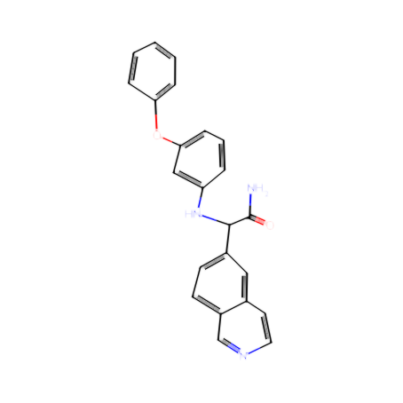 NC(=O)C(Nc1cccc(Oc2ccccc2)c1)c1ccc2cnccc2c1